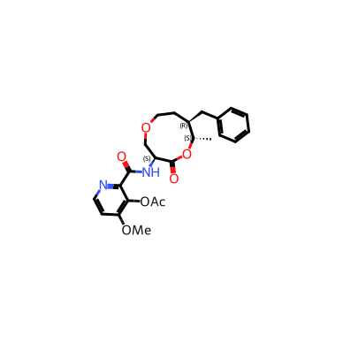 COc1ccnc(C(=O)N[C@H]2COCC[C@@H](Cc3ccccc3)[C@H](C)OC2=O)c1OC(C)=O